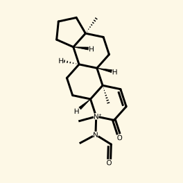 CN(C=O)[N+]1(C)C(=O)C=C[C@@]2(C)[C@H]1CC[C@H]1[C@@H]3CCC[C@@]3(C)CC[C@@H]12